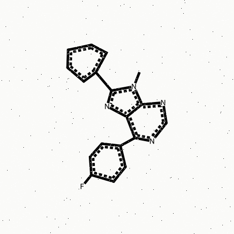 Cn1c(-c2ccccc2)nc2c(-c3ccc(F)cc3)ncnc21